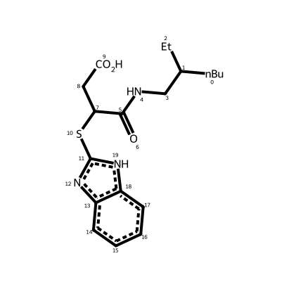 CCCCC(CC)CNC(=O)C(CC(=O)O)Sc1nc2ccccc2[nH]1